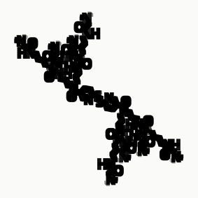 CN(C)CC(=O)NCCCC[C@H](NC(=O)CN(C)C)C(=O)NCCCN(CCCNC(=O)[C@H](CCCCNC(=O)CN(C)C)NC(=O)CN(C)C)C(=O)c1ccc(SSc2ccc(C(=O)N(CCCNC(=O)[C@H](CCCCNC(=O)CN(C)C)NC(=O)CN(C)C)CCCNC(=O)[C@H](CCCCNC(=O)CN(C)C)NC(=O)CN(C)C)cn2)nc1